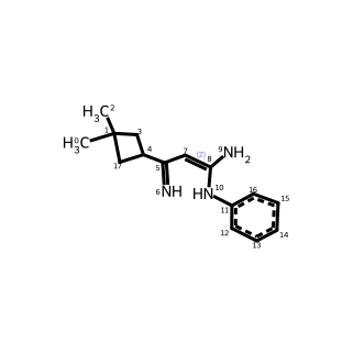 CC1(C)CC(C(=N)/C=C(/N)Nc2ccccc2)C1